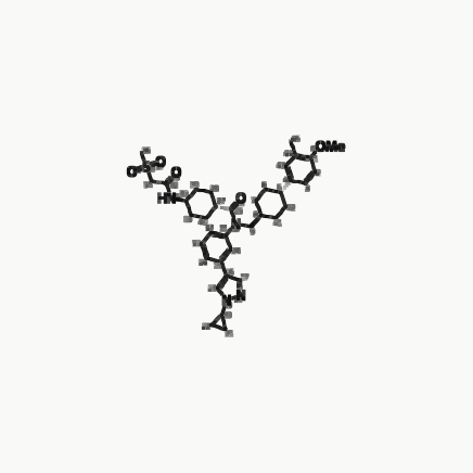 COc1ccc([C@H]2CC[C@H](CN(c3cccc(-c4cnn(C5CC5)c4)c3)C(=O)[C@H]3CC[C@H](NC(=O)CS(C)(=O)=O)CC3)CC2)cc1C